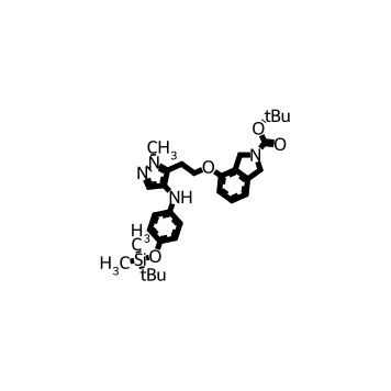 Cn1ncc(Nc2ccc(O[Si](C)(C)C(C)(C)C)cc2)c1CCOc1cccc2c1CN(C(=O)OC(C)(C)C)C2